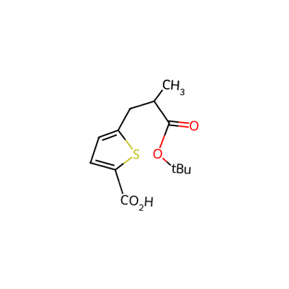 CC(Cc1ccc(C(=O)O)s1)C(=O)OC(C)(C)C